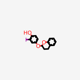 Oc1ccc(OC2CCc3ccccc3O2)cc1I